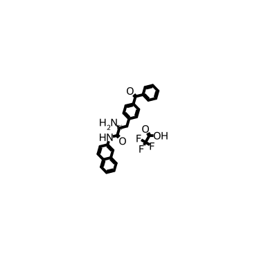 N[C@@H](Cc1ccc(C(=O)c2ccccc2)cc1)C(=O)Nc1ccc2ccccc2c1.O=C(O)C(F)(F)F